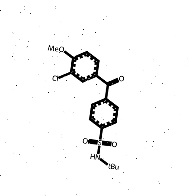 COc1ccc(C(=O)c2ccc(S(=O)(=O)NC(C)(C)C)cc2)cc1Cl